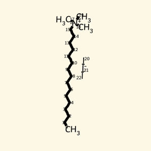 CCCCCCCCCCCCCCCC[N+](C)(C)C.I[I-]I